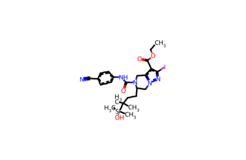 CCOC(=O)c1c(I)nn2c1CN(C(=O)Nc1ccc(C#N)cc1)C(CCC(C)(C)[Si](C)(C)O)C2